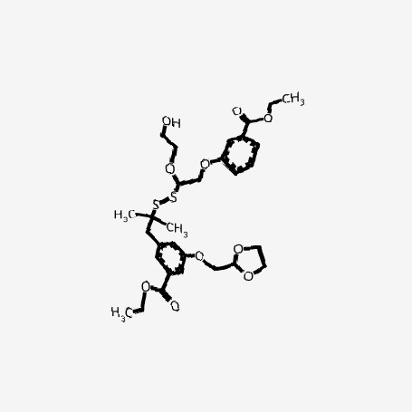 CCOC(=O)c1cc(CC(C)(C)SSC(COc2cccc(C(=O)OCC)c2)OCCO)cc(OCC2OCCO2)c1